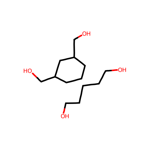 OCC1CCCC(CO)C1.OCCCCCO